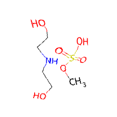 COS(=O)(=O)O.OCCNCCO